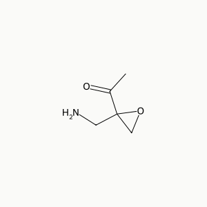 CC(=O)C1(CN)CO1